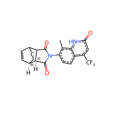 Cc1c(N2C(=O)C3C4C=C[C@@H](CC4)[C@@H]3C2=O)ccc2c(C(F)(F)F)cc(=O)[nH]c12